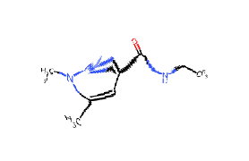 Cc1cc(C(=O)NCC(F)(F)F)nn1C